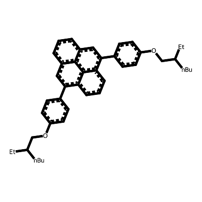 CCCCC(CC)COc1ccc(-c2cc3cccc4cc(-c5ccc(OCC(CC)CCCC)cc5)c5cccc2c5c34)cc1